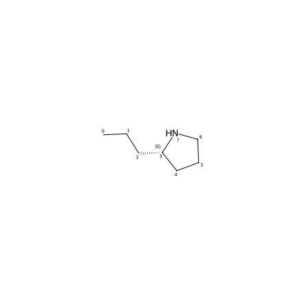 CCC[C@H]1CCCN1